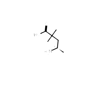 C[C@@H](N)CC(C)(C)C(=O)O